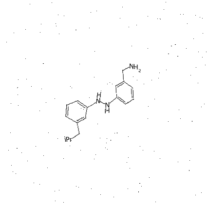 CC(C)Cc1cccc(NNc2cccc(CN)c2)c1